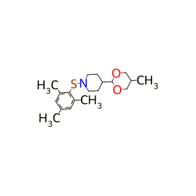 Cc1cc(C)c(SN2CCC(C3OCC(C)CO3)CC2)c(C)c1